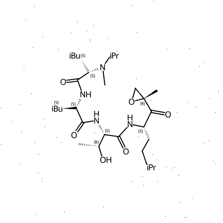 CC[C@H](C)[C@H](NC(=O)[C@H]([C@@H](C)CC)N(C)C(C)C)C(=O)N[C@H](C(=O)N[C@@H](CCC(C)C)C(=O)[C@@]1(C)CO1)[C@@H](C)O